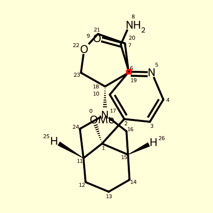 CO[C@@]1(c2ccnc(C(N)=O)c2)[C@@H]2CCC[C@H]1CN([C@H]1CCCOC1)C2